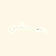 NC=CCCCCCCNCCC1CCCCC1